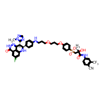 Cn1ncnc1[C@H]1c2n[nH]c(=O)c3cc(F)cc(c23)N[C@@H]1c1ccc(NCCCOCCCOc2ccc(S(=O)(=O)CC(C)(O)C(=O)Nc3ccc(C#N)c(C(F)(F)F)c3)cc2)cc1